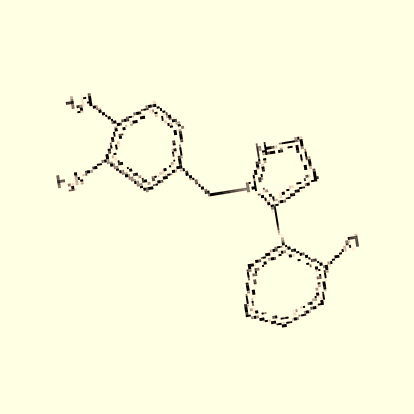 Nc1ccc(Cn2nccc2-c2ccccc2Cl)cc1N